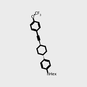 CCCCCCc1ccc([C@H]2CC[C@H](C#Cc3ccc(OC(F)(F)F)cc3)CC2)cc1